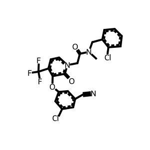 CN(Cc1ccccc1Cl)C(=O)Cn1ccc(C(F)(F)F)c(Oc2cc(Cl)cc(C#N)c2)c1=O